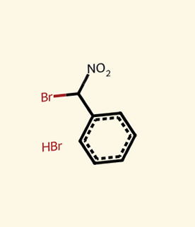 Br.O=[N+]([O-])C(Br)c1ccccc1